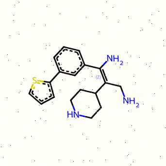 NC/C(=C(\N)c1cccc(-c2cccs2)c1)C1CCNCC1